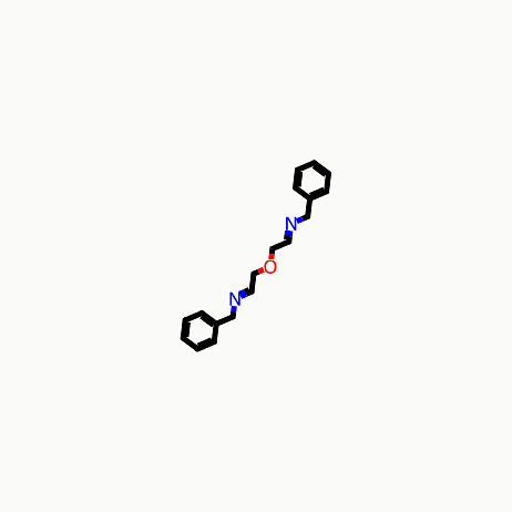 C(COCC=NCc1ccccc1)=NCc1ccccc1